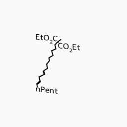 CCCCCC=CCC=CCCCCCCCCC(C)(C(=O)OCC)C(=O)OCC